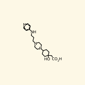 O=C(O)CC1(O)CCC(N2CCN(CCCNc3ccncc3)CC2)CC1